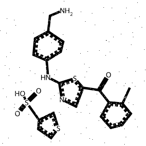 Cc1ccccc1C(=O)c1cnc(Nc2ccc(CN)cc2)s1.O=S(=O)(O)c1ccsc1